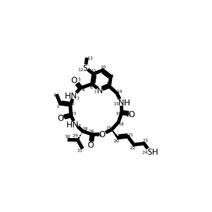 C/C=C1\NC(=O)c2nc(ccc2SC)CNC(=O)C[C@@H](/C=C/CCS)OC(=O)[C@H](C(C)C)NC1=O